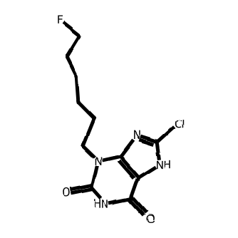 O=c1[nH]c(=O)n(CCCCCCF)c2nc(Cl)[nH]c12